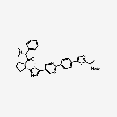 CN[C@@H](C)c1ncc(-c2ccc(-c3ncc(-c4cnc([C@@H]5CCCN5C(=O)[C@@H](c5ccccc5)N(C)C)[nH]4)cn3)cc2)[nH]1